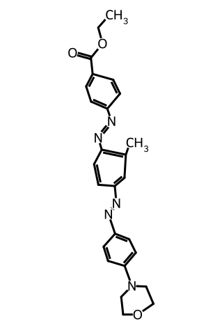 CCOC(=O)c1ccc(/N=N/c2ccc(/N=N/c3ccc(N4CCOCC4)cc3)cc2C)cc1